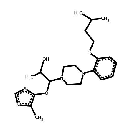 Cc1ncsc1OC(C(C)O)N1CCN(c2ccccc2OCCC(C)C)CC1